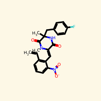 C=Cc1cccc([N+](=O)[O-])c1C=C1C(=O)NC(C)(Cc2ccc(F)cc2)C(=O)N1C